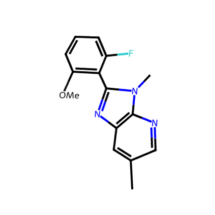 COc1cccc(F)c1-c1nc2cc(C)cnc2n1C